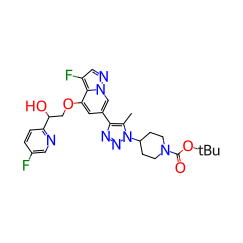 Cc1c(-c2cc(OCC(O)c3ccc(F)cn3)c3c(F)cnn3c2)nnn1C1CCN(C(=O)OC(C)(C)C)CC1